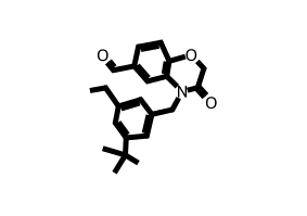 CCc1cc(CN2C(=O)COc3ccc(C=O)cc32)cc(C(C)(C)C)c1